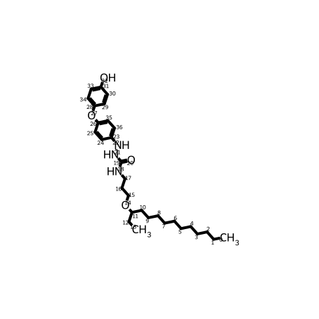 CCCCCCCCCCCC(CC)OCCCNC(=O)NNc1ccc(Oc2ccc(O)cc2)cc1